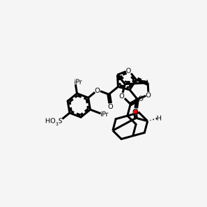 CC(C)c1cc(S(=O)(=O)O)cc(C(C)C)c1OC(=O)c1c2c3oc1c(OC(=O)C14CC5CC(C1)C(=O)[C@H](C5)C4)c3OC2=O